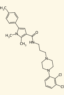 Cc1ccc(-c2cc(C(=O)NCCCN3CCN(c4cccc(Cl)c4Cl)CC3)c(C)n2C)cc1